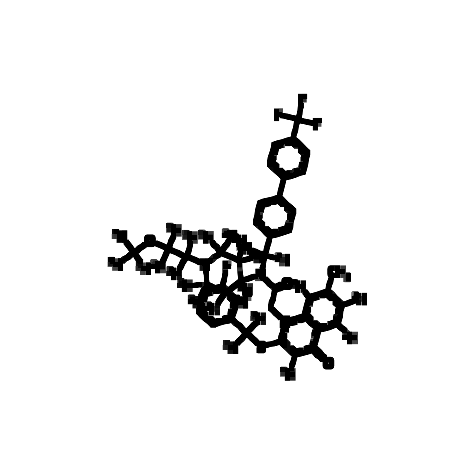 [2H]c1c(C)c([2H])c2c(c1[2H])c(=O)c([2H])c(SC([2H])([2H])c1cccc(F)c1F)n2CC(=O)N(C([2H])([2H])c1ccc(-c2ccc(C(F)(F)F)cc2)cc1)C1([2H])C([2H])([2H])C([2H])([2H])N(C([2H])([2H])C([2H])([2H])OC([2H])([2H])[2H])C([2H])([2H])C1([2H])[2H]